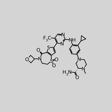 CN1CCN(c2ccc(Nc3ncc(C(F)(F)F)c(-c4cc5c(s4)C(=O)N(C4COC4)CCS5(=O)=O)n3)c(C3CC3)c2)C[C@H]1C(N)=O